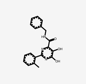 Cc1ccccc1-c1nc(O)c(O)c(C(=O)NCc2ccccc2)n1